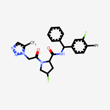 CC(C)c1ccc(C(NC(=O)C2CC(F)CN2C(=O)Cn2nncc2C(F)(F)F)c2ccccc2)cc1F